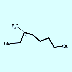 CC(C)(C)CCCC[C@H](CC(C)(C)C)C(F)(F)F